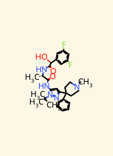 C[C@H](NC(=O)[C@@H](O)c1cc(F)cc(F)c1)C(=O)Nc1cc(C2(c3ccccc3)CCN(C)CC2)nn1C(C)(C)C